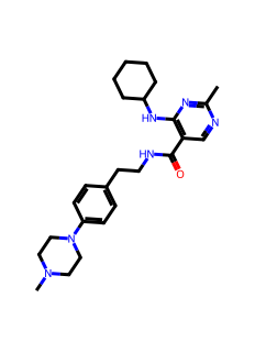 Cc1ncc(C(=O)NCCc2ccc(N3CCN(C)CC3)cc2)c(NC2CCCCC2)n1